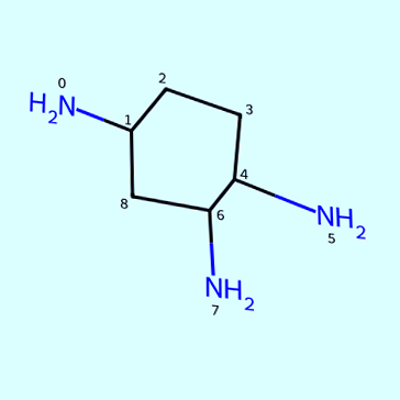 NC1CCC(N)C(N)C1